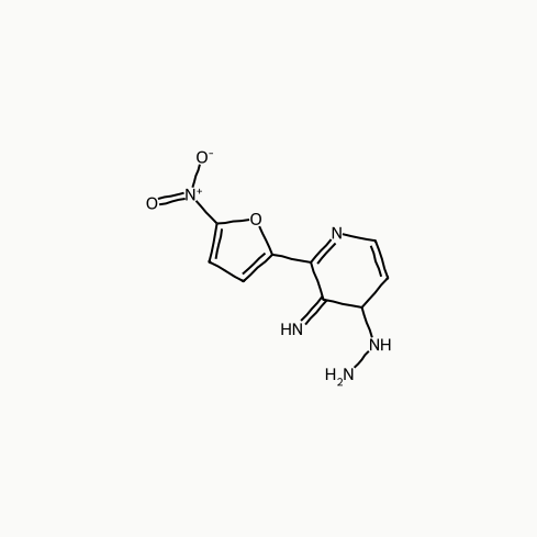 N=C1C(c2ccc([N+](=O)[O-])o2)=NC=CC1NN